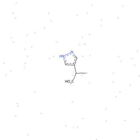 [CH2]C(C(=O)O)c1cn[nH]c1